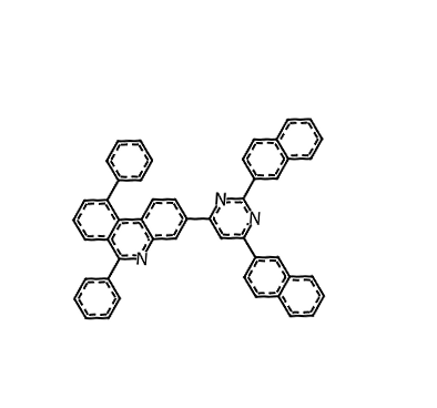 c1ccc(-c2nc3cc(-c4cc(-c5ccc6ccccc6c5)nc(-c5ccc6ccccc6c5)n4)ccc3c3c(-c4ccccc4)cccc23)cc1